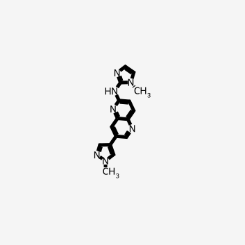 Cn1cc(-c2cnc3ccc(Nc4nccn4C)nc3c2)cn1